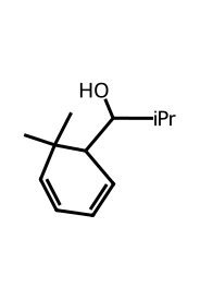 CC(C)C(O)C1C=CC=CC1(C)C